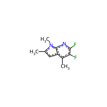 Cc1c(F)c(F)nc2c1cc(C)n2C